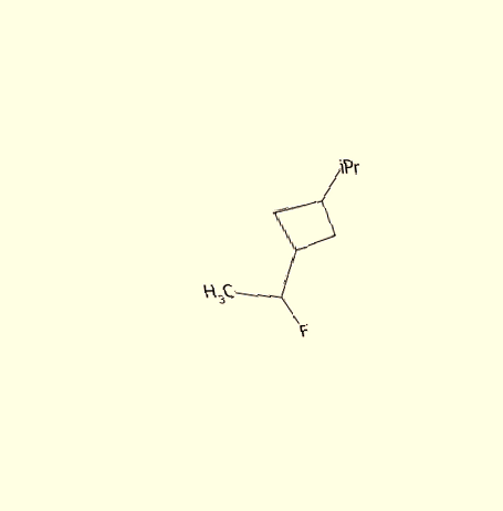 CC(C)C1CC(C(C)F)C1